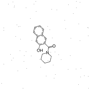 O=C(c1cc2ccccc2cc1O)N1CCCCC1